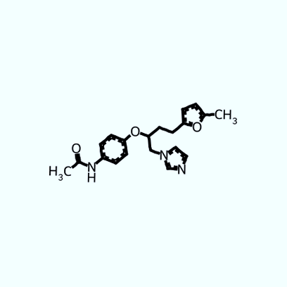 CC(=O)Nc1ccc(OC(CCc2ccc(C)o2)Cn2ccnc2)cc1